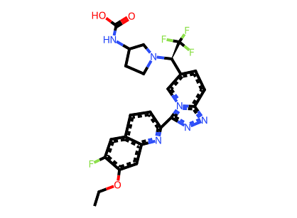 CCOc1cc2nc(-c3nnc4ccc([C@@H](N5CCC(NC(=O)O)C5)C(F)(F)F)cn34)ccc2cc1F